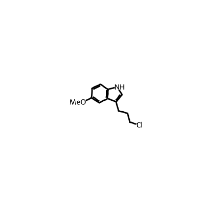 COc1ccc2[nH]cc(CCCCl)c2c1